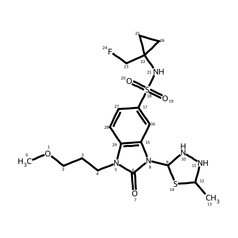 COCCCn1c(=O)n(C2NNC(C)S2)c2cc(S(=O)(=O)NC3(CF)CC3)ccc21